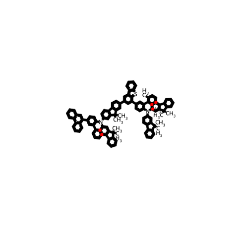 Cc1cccc(C)c1-c1cc(-c2cc(-c3ccc4c(c3)C(C)(C)c3cc(N(c5ccc6c(c5)C(C)(C)c5ccccc5-6)c5ccc(-c6cc7ccccc7c7ccccc67)cc5-c5ccccc5)ccc3-4)cc3c2sc2ccccc23)ccc1N(c1ccc2c(c1)C(C)(C)c1ccccc1-2)c1ccc2c(c1)C(C)(C)c1ccccc1-2